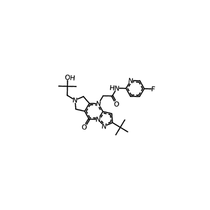 CC(C)(O)CN1Cc2c(n(CC(=O)Nc3ccc(F)cn3)c3cc(C(C)(C)C)nn3c2=O)C1